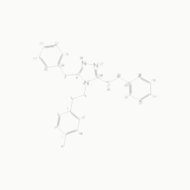 Cc1ccc(CCn2c(Cc3ccccc3)nnc2SCc2ccccc2)cc1